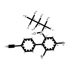 N#Cc1ccc(-c2c(Br)[c]c(Br)cc2[S+]([O-])C(F)(F)C(F)(F)C(F)(F)F)cc1